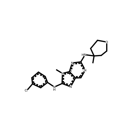 Cn1c(Nc2cccc(Cl)c2)nc2cnc(NC3(C)CCOCC3)nc21